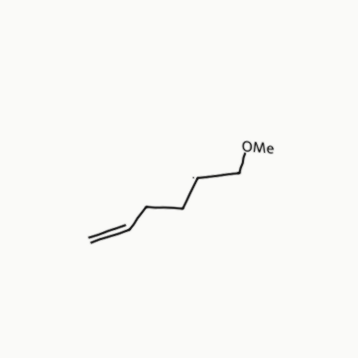 C=CCC[CH]COC